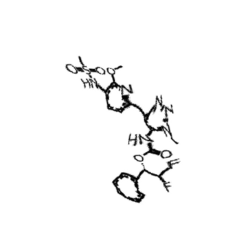 COc1nc(-c2nnn(C)c2NC(=O)O[C@@H](c2ccccc2)C(F)F)ccc1NS(C)(=O)=O